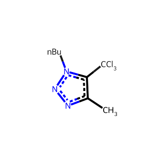 CCCCn1nnc(C)c1C(Cl)(Cl)Cl